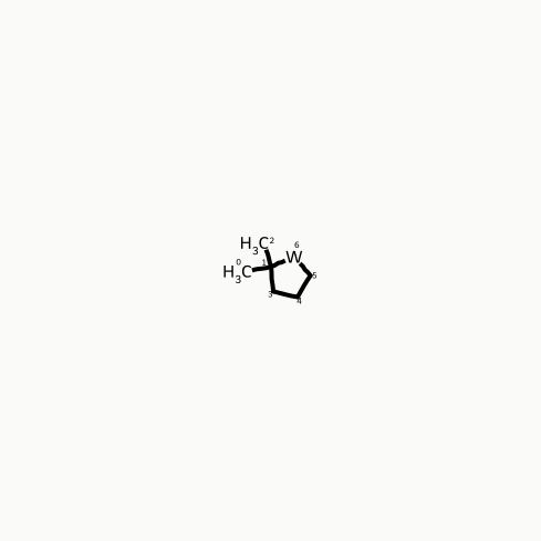 C[C]1(C)CC[CH2][W]1